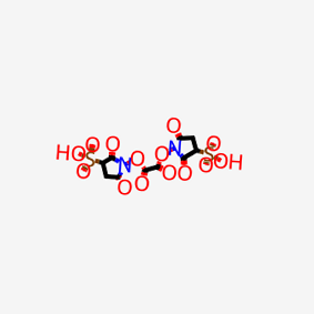 O=C(ON1C(=O)CC(S(=O)(=O)O)C1=O)C(=O)ON1C(=O)CC(S(=O)(=O)O)C1=O